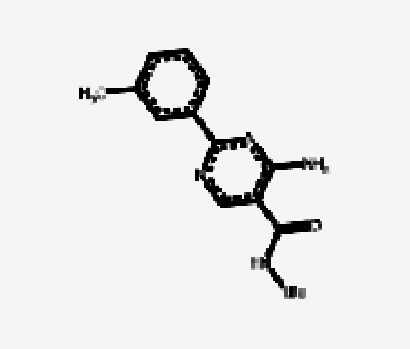 Cc1cccc(-c2ncc(C(=O)NC(C)(C)C)c(N)n2)c1